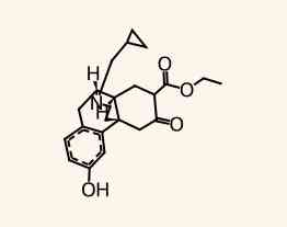 CCOC(=O)C1C[C@H]2[C@H]3Cc4ccc(O)cc4[C@@]2(CCN3CC2CC2)CC1=O